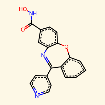 O=C(NO)c1ccc2c(c1)N=C(c1ccncc1)c1ccccc1O2